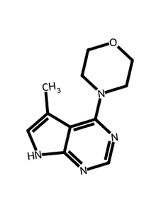 Cc1c[nH]c2ncnc(N3CCOCC3)c12